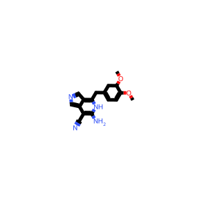 COC1=CC=C(Cc2[nH]c(N)c(C#N)c3cncc2-3)CC1OC